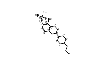 CCCC1CCC(C2CCc3c(ccc(OC(F)(F)F)c3F)C2)CC1